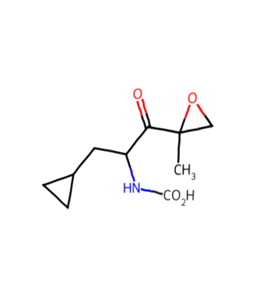 CC1(C(=O)C(CC2CC2)NC(=O)O)CO1